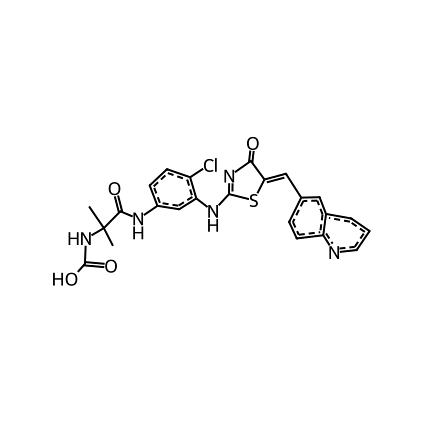 CC(C)(NC(=O)O)C(=O)Nc1ccc(Cl)c(NC2=NC(=O)/C(=C/c3ccc4ncccc4c3)S2)c1